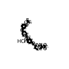 Cl.O=[N+]([O-])c1cn2c(n1)O[C@@H](COc1ccc3oc(N4CCC(Oc5ccc(OC(F)(F)F)cc5)CC4)nc3c1)CC2